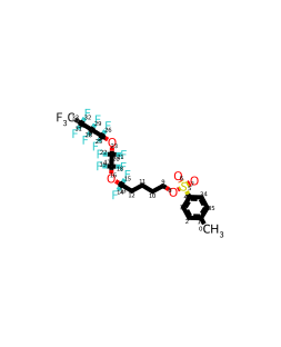 Cc1ccc(S(=O)(=O)OCCCCC(F)(F)OC(F)(F)C(F)(F)OC(F)(F)C(F)(F)C(F)(F)C(F)(F)F)cc1